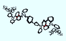 C[Si](C)(C)O[Si](C)(O[Si](C)(C)C)c1cccc(N(c2ccccc2)c2ccccc2-c2ccc(N(c3ccccc3)c3ccc(-c4ccc(N(c5ccccc5)c5ccc(-c6ccccc6N(c6ccccc6)c6cccc([Si](C)(O[Si](C)(C)C)O[Si](C)(C)C)c6)cc5)cc4)cc3)cc2)c1